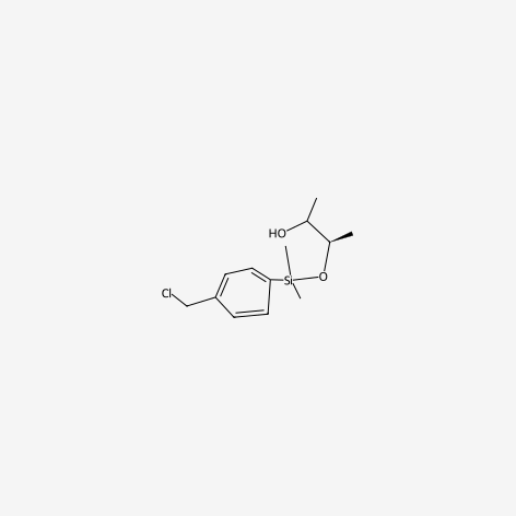 CC(O)[C@@H](C)O[Si](C)(C)c1ccc(CCl)cc1